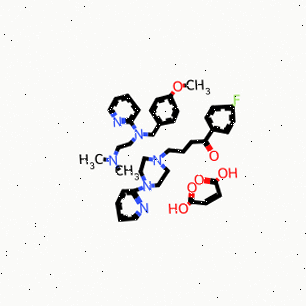 COc1ccc(CN(CCN(C)C)c2ccccn2)cc1.O=C(CCCN1CCN(c2ccccn2)CC1)c1ccc(F)cc1.O=C(O)/C=C\C(=O)O